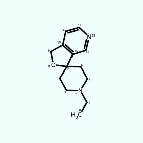 CCN1CCC2(CC1)OCc1ccncc12